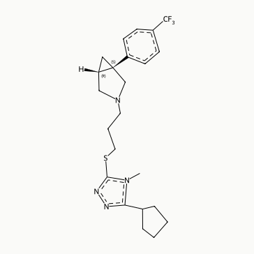 Cn1c(SCCCN2C[C@@H]3C[C@]3(c3ccc(C(F)(F)F)cc3)C2)nnc1C1CCCC1